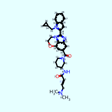 CN(C)C/C=C/C(=O)N[C@@H]1CCCN(C(=O)c2cc3c4c(c2)nc(-c2cc5ccccc5n2CC2CC2)n4CCO3)C1